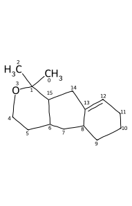 CC1(C)OCCC2CC3CCCC=C3CC21